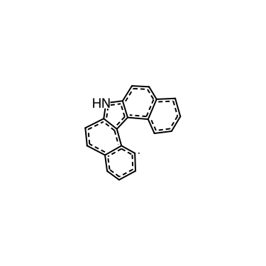 [c]1cccc2ccc3[nH]c4ccc5ccccc5c4c3c12